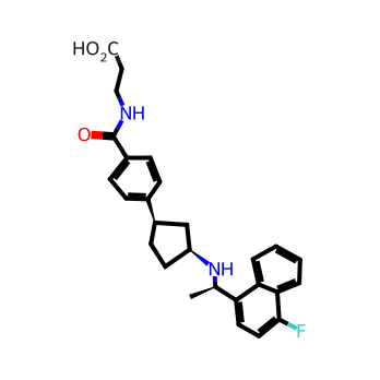 C[C@@H](N[C@H]1CC[C@@H](c2ccc(C(=O)NCCC(=O)O)cc2)C1)c1ccc(F)c2ccccc12